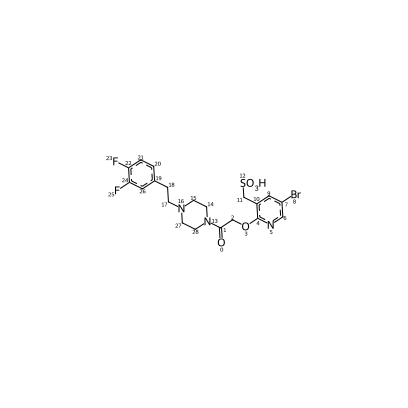 O=C(COc1ncc(Br)cc1CS(=O)(=O)O)N1CCN(CCc2ccc(F)c(F)c2)CC1